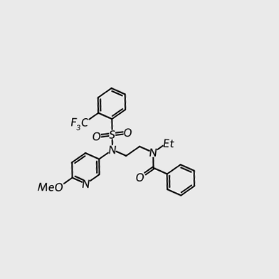 CCN(CCN(c1ccc(OC)nc1)S(=O)(=O)c1ccccc1C(F)(F)F)C(=O)c1ccccc1